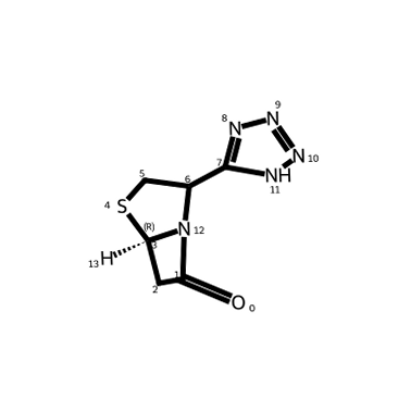 O=C1C[C@H]2SCC(c3nnn[nH]3)N12